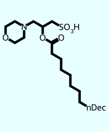 CCCCCCCCCCCCCCCCCC(=O)OC(CN1CCOCC1)CS(=O)(=O)O